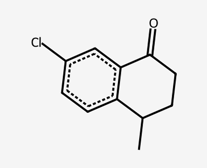 CC1CCC(=O)c2cc(Cl)ccc21